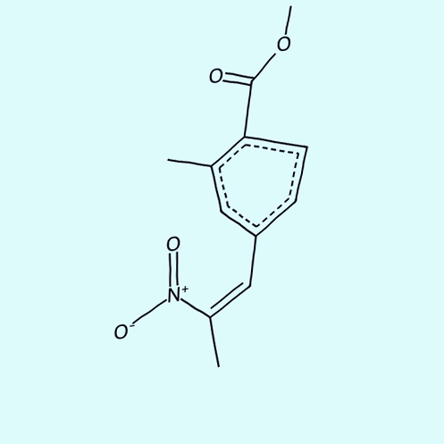 COC(=O)c1ccc(C=C(C)[N+](=O)[O-])cc1C